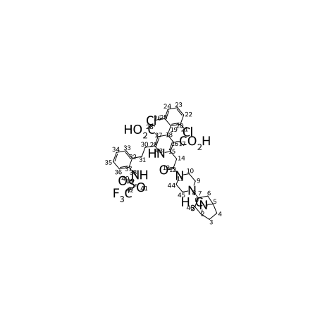 CN1C2CCC1CC(N1CCN(C(=O)CC3=C(C(=O)O)C(c4c(Cl)cccc4Cl)C(C(=O)O)=C(CCc4ccccc4NS(=O)(=O)C(F)(F)F)N3)CC1)C2